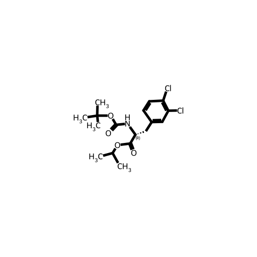 CC(C)OC(=O)[C@@H](Cc1ccc(Cl)c(Cl)c1)NC(=O)OC(C)(C)C